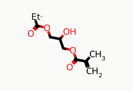 C=C(C)C(=O)OCC(O)COC(=O)[CH]C